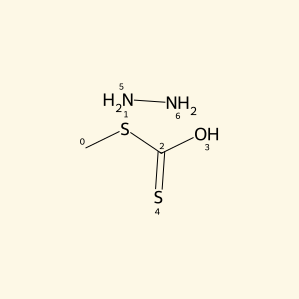 CSC(O)=S.NN